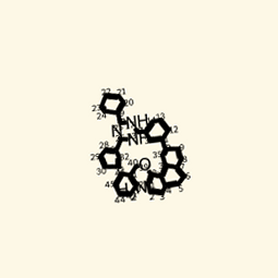 Nc1ccc2ccc3ccc(-c4cccc(C5NC(c6ccccc6)=NC(c6ccccc6)N5)c4)cc3c2c1OCc1ccccc1